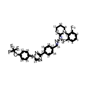 Fc1cccc(F)c1N1CCCS/C1=N\N=C\c1ccc(-c2ncn(-c3ccc(OC(F)(F)F)cc3)n2)cc1